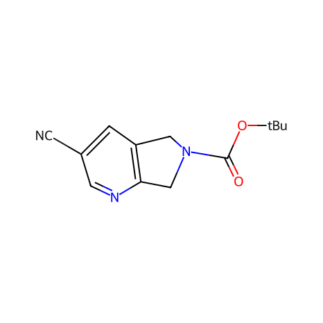 CC(C)(C)OC(=O)N1Cc2cc(C#N)cnc2C1